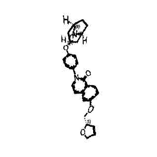 CN1[C@@H]2CC[C@H]1C[C@@H](Oc1ccc(-n3ccc4cc(OC[C@@H]5CCCO5)ccc4c3=O)cc1)C2